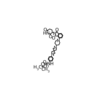 CC(C)(C)OC(=O)Nc1ccc(N2CC3(C2)CN(C2CCN(c4cccc5c4C(=O)N(C4CCC(=O)NC4=O)C5=O)CC2)C3)cc1